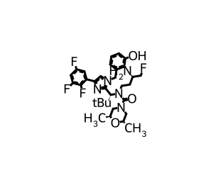 C[C@@H]1CN(C(=O)N(CC[C@H](N)CF)[C@@H](c2nc(-c3cc(F)cc(F)c3F)cn2Cc2cccc(O)c2)C(C)(C)C)C[C@H](C)O1